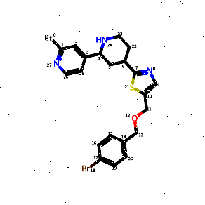 CCc1cc(C2CC(c3ncc(COCc4ccc(Br)cc4)s3)CCN2)ccn1